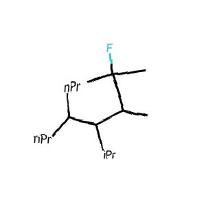 CCCC(CCC)C(C(C)C)C(C)C(C)(C)F